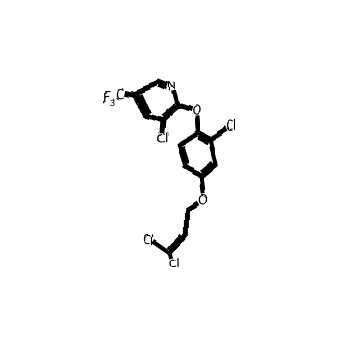 FC(F)(F)c1cnc(Oc2ccc(OCC=C(Cl)Cl)cc2Cl)c(Cl)c1